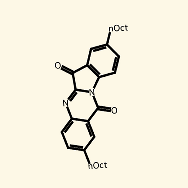 CCCCCCCCc1ccc2c(c1)C(=O)c1nc3ccc(CCCCCCCC)cc3c(=O)n1-2